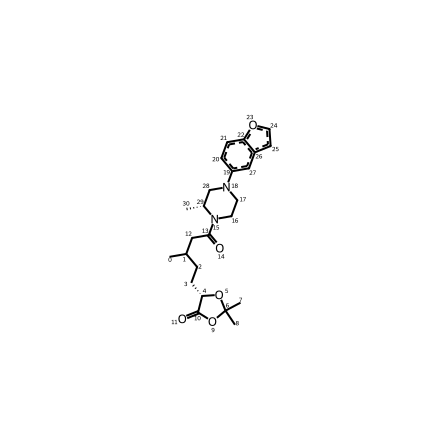 CC(CC[C@@H]1OC(C)(C)OC1=O)CC(=O)N1CCN(c2ccc3occc3c2)C[C@H]1C